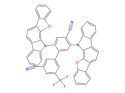 N#Cc1cc(-c2cc(-n3c4ccccc4c4ccc5c6ccccc6oc5c43)c(C#N)cc2-n2c3ccccc3c3ccc4c5ccccc5oc4c32)cc(C(F)(F)F)c1